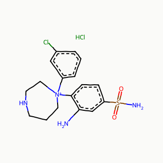 Cl.Nc1cc(S(N)(=O)=O)ccc1[N+]1(c2cccc(Cl)c2)CCCNCC1